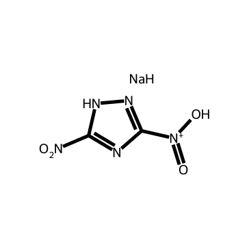 O=[N+]([O-])c1nc([N+](=O)O)n[nH]1.[NaH]